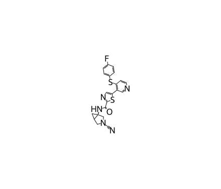 N#CN1CC2C[C@]2(NC(=O)c2ncc(-c3cnccc3Sc3ccc(F)cc3)s2)C1